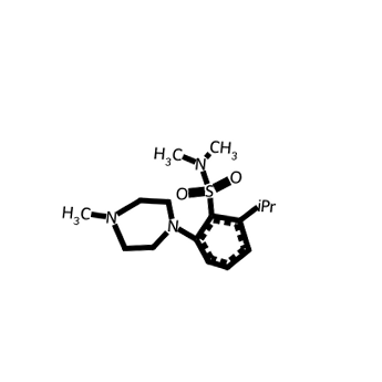 CC(C)c1cccc(N2CCN(C)CC2)c1S(=O)(=O)N(C)C